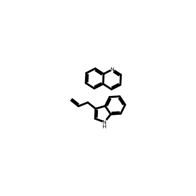 C=CCc1c[nH]c2ccccc12.c1ccc2ncccc2c1